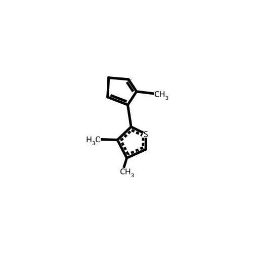 CC1=[C]CC=C1c1scc(C)c1C